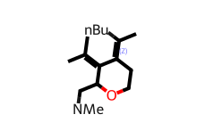 CCCC/C(C)=C1/CCOC(CNC)C1=C(C)C